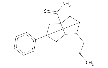 CSCC1C2CC3(c4ccccc4)CC2(C(N)=S)CC13